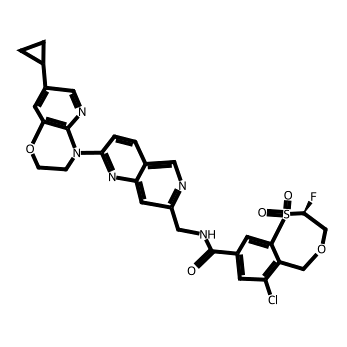 O=C(NCc1cc2nc(N3CCOc4cc(C5CC5)cnc43)ccc2cn1)c1cc(Cl)c2c(c1)S(=O)(=O)[C@@H](F)COC2